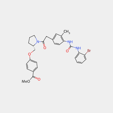 COC(=O)c1ccc(OC[C@@H]2CCCN2C(=O)Cc2ccc(NC(=O)Nc3ccccc3Br)c(C)c2)cc1